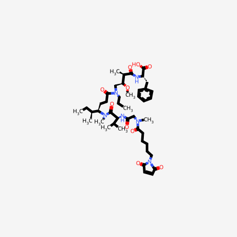 CCCN(C[C@H](OC)[C@@H](C)C(=O)N[C@@H](Cc1ccccc1)C(=O)O)C(=O)CC[C@H]([C@@H](C)CC)N(C)C(=O)[C@@H](NC(=O)CN(C)C(=O)CCCCCN1C(=O)C=CC1=O)C(C)C